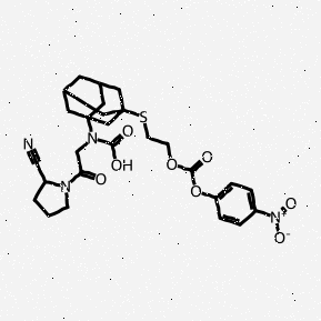 N#CC1CCCN1C(=O)CN(C(=O)O)C12CC3CC(CC(SCCOC(=O)Oc4ccc([N+](=O)[O-])cc4)(C3)C1)C2